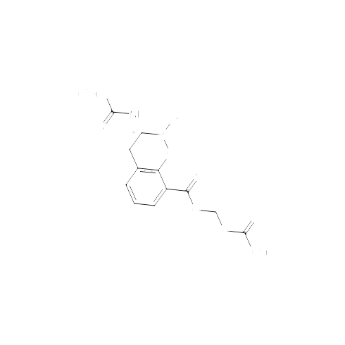 CCCCCC(=O)N[C@H]1Cc2cccc(C(=O)OCOC(=O)C(C)(C)C)c2OB1O